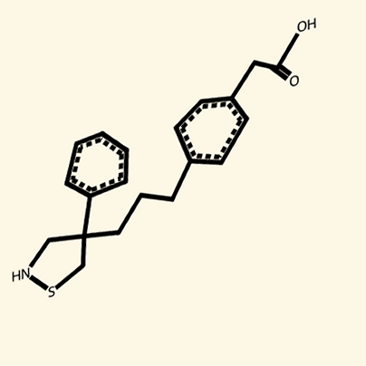 O=C(O)Cc1ccc(CCCC2(c3ccccc3)CNSC2)cc1